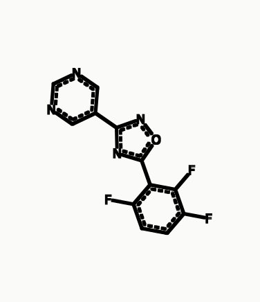 Fc1ccc(F)c(-c2nc(-c3cncnc3)no2)c1F